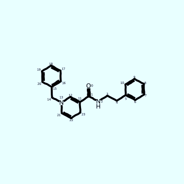 O=C(NCCc1ccccc1)C1=CN(Cc2ccccc2)C=CC1